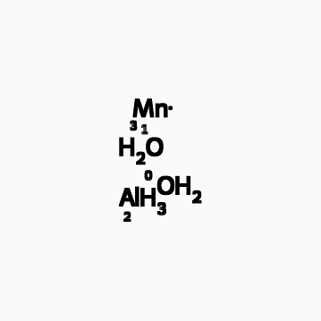 O.O.[AlH3].[Mn]